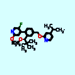 [CH2]C(C)c1ccnc(OCc2ccc(-c3cc(OC)ncc3F)c([C@@H](OC)C(C)(C)C)c2)c1